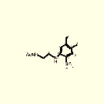 CC(=O)NCCNc1cc(C)c(C)cc1[N+](=O)[O-]